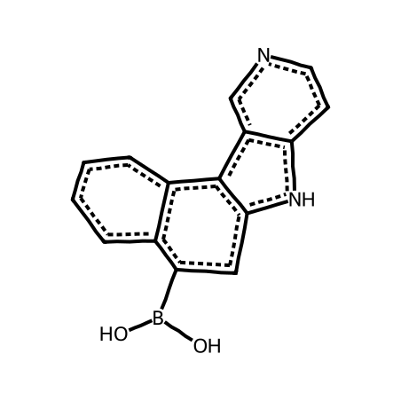 OB(O)c1cc2[nH]c3ccncc3c2c2ccccc12